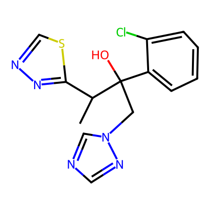 CC(c1nncs1)C(O)(Cn1cncn1)c1ccccc1Cl